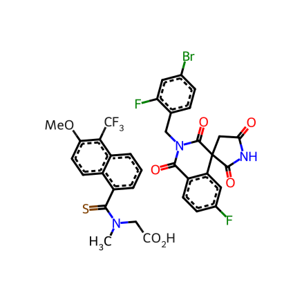 COc1ccc2c(C(=S)N(C)CC(=O)O)cccc2c1C(F)(F)F.O=C1CC2(C(=O)N1)C(=O)N(Cc1ccc(Br)cc1F)C(=O)c1ccc(F)cc12